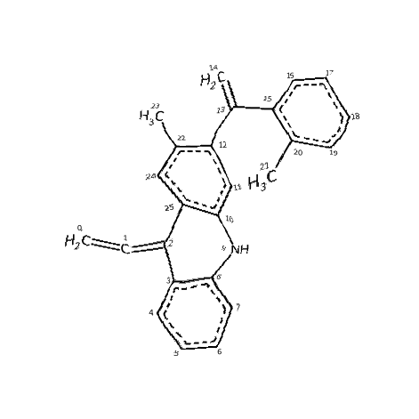 C=C=C1c2ccccc2Nc2cc(C(=C)c3ccccc3C)c(C)cc21